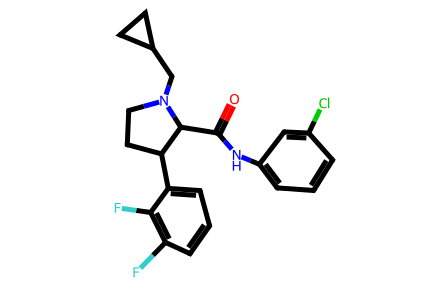 O=C(Nc1cccc(Cl)c1)C1C(c2cccc(F)c2F)CCN1CC1CC1